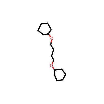 C1CCC(OCCCCOC2CCCCC2)CC1